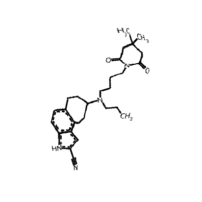 CCCN(CCCCN1C(=O)CC(C)(C)CC1=O)C1CCc2ccc3[nH]c(C#N)cc3c2C1